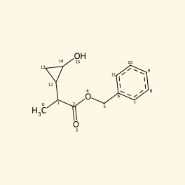 CC(C(=O)OCc1ccccc1)C1CC1O